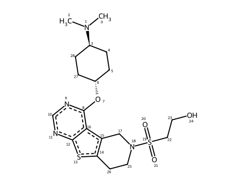 CN(C)[C@H]1CC[C@H](Oc2ncnc3sc4c(c23)CN(S(=O)(=O)CCO)CC4)CC1